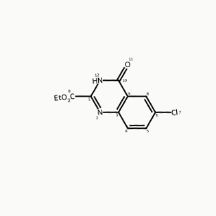 CCOC(=O)c1nc2ccc(Cl)cc2c(=O)[nH]1